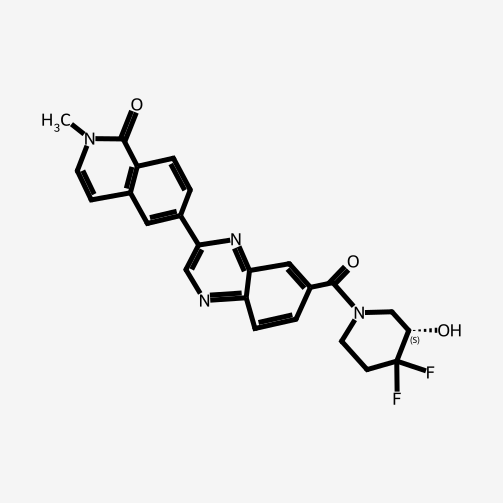 Cn1ccc2cc(-c3cnc4ccc(C(=O)N5CCC(F)(F)[C@@H](O)C5)cc4n3)ccc2c1=O